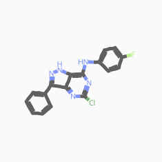 Fc1ccc(Nc2nc(Cl)nc3c(-c4ccccc4)n[nH]c23)cc1